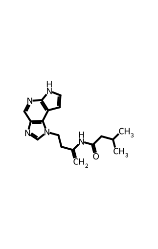 C=C(CCn1cnc2cnc3[nH]ccc3c21)NC(=O)CC(C)C